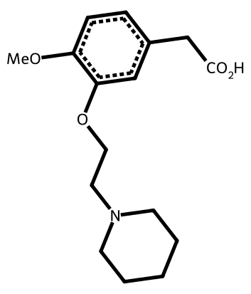 COc1ccc(CC(=O)O)cc1OCCN1CCCCC1